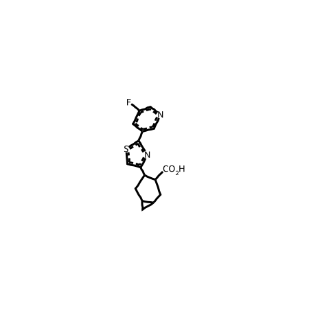 O=C(O)C1CC2CC2CC1c1csc(-c2cncc(F)c2)n1